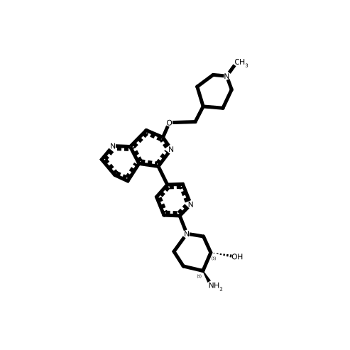 CN1CCC(COc2cc3ncccc3c(-c3ccc(N4CC[C@H](N)[C@@H](O)C4)nc3)n2)CC1